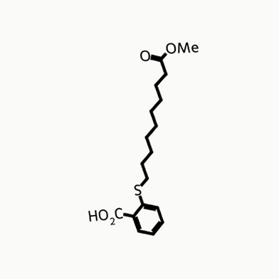 COC(=O)CCCCCCCCCSc1ccccc1C(=O)O